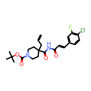 C=CCC1(C(=O)NC(=O)C=Cc2ccc(Cl)c(F)c2)CCN(C(=O)OC(C)(C)C)CC1